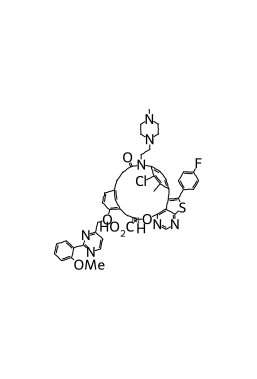 COc1ccccc1-c1nccc(COc2ccc3cc2C[C@H](C(=O)O)Oc2ncnc4sc(-c5ccc(F)cc5)c(c24)-c2ccc(c(Cl)c2C)N(CCN2CCN(C)CC2)C(=O)CC3)n1